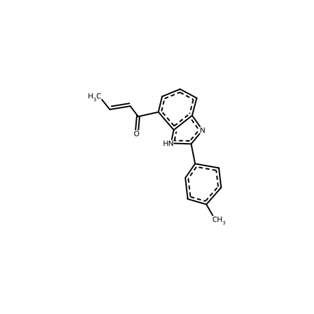 CC=CC(=O)c1cccc2nc(-c3ccc(C)cc3)[nH]c12